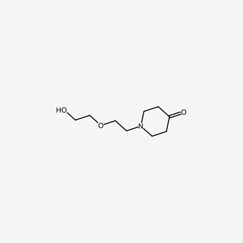 O=C1CCN(CCOCCO)CC1